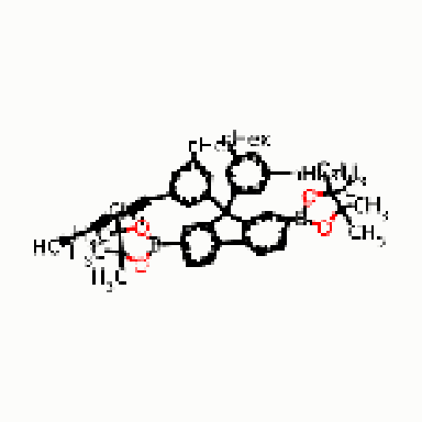 C#CC#CC#Cc1cc(CCCCCC)cc(C2(c3cc(CCCCCC)cc(CCCCCC)c3)c3cc(B4OC(C)(C)C(C)(C)O4)ccc3-c3ccc(B4OC(C)(C)C(C)(C)O4)cc32)c1